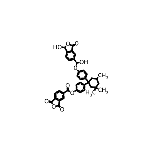 CC1CC(C)(C)CC(c2ccc(OC(=O)c3ccc4c(c3)C(=O)OC4=O)cc2)(c2ccc(OC(O)c3ccc4c(c3)C(=O)OC4O)cc2)C1